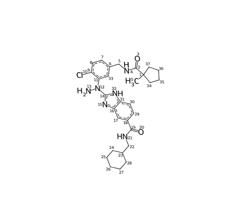 CC1(C(=O)NCc2ccc(Cl)c(N(N)c3nc4cc(C(=O)NCC5CCCCC5)ccc4[nH]3)c2)CCCC1